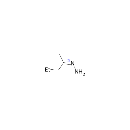 CCC/C(C)=N\N